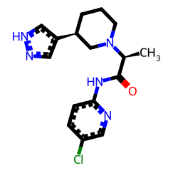 C[C@@H](C(=O)Nc1ccc(Cl)cn1)N1CCC[C@H](c2cn[nH]c2)C1